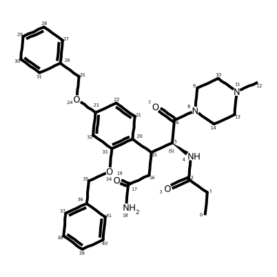 CCC(=O)N[C@H](C(=O)N1CCN(C)CC1)C(CC(N)=O)c1ccc(OCc2ccccc2)cc1OCc1ccccc1